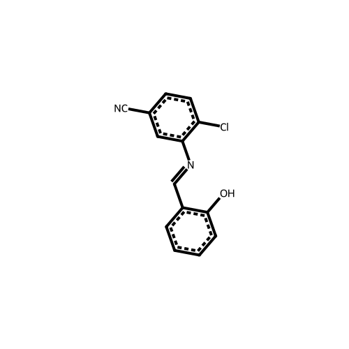 N#Cc1ccc(Cl)c(N=Cc2ccccc2O)c1